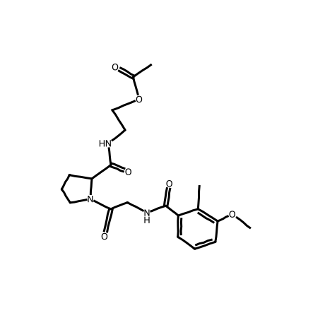 COc1cccc(C(=O)NCC(=O)N2CCCC2C(=O)NCCOC(C)=O)c1C